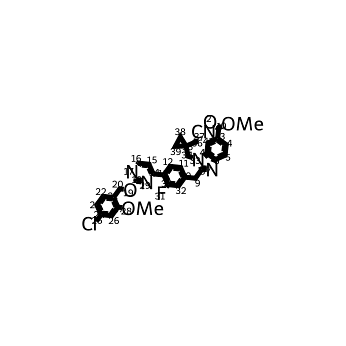 COC(=O)c1ccc2nc(Cc3ccc(-c4ccnc(OCc5ccc(Cl)cc5OC)n4)c(F)c3)n(CC3(CC#N)CC3)c2c1